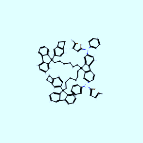 CCc1ccc(N(c2ccccc2)c2ccc3c(c2)C(CCCCCCC2(c4ccc5c(c4)CC5)c4ccccc4-c4ccccc42)(CCCCCCC2(c4ccc5c(c4)CC5)c4ccccc4-c4ccccc42)c2cc(N(c4ccccc4)c4ccc(CC)s4)ccc2-3)s1